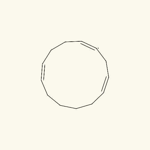 [C]1=CCCC=CCCCCC=CC1